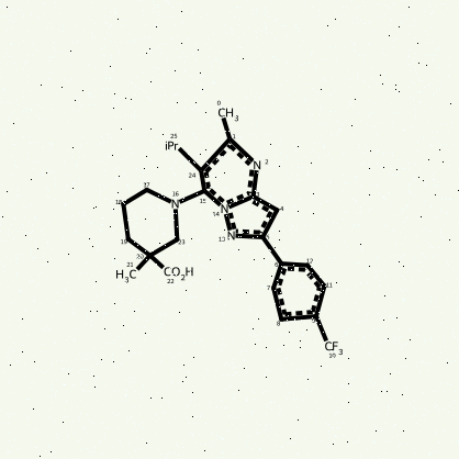 Cc1nc2cc(-c3ccc(C(F)(F)F)cc3)nn2c(N2CCCC(C)(C(=O)O)C2)c1C(C)C